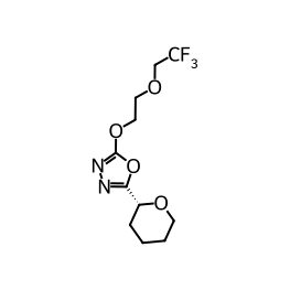 FC(F)(F)COCCOc1nnc([C@H]2CCCCO2)o1